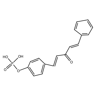 O=C(/C=C/c1ccccc1)/C=C/c1ccc(OP(=O)(O)O)cc1